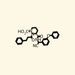 N#CC(NC(=O)[C@@H]1CCCN(C(=O)O)N1C(=O)CCc1ccccc1)c1cccc(Oc2ccccc2)c1